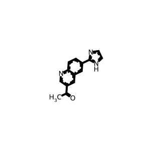 CC(=O)c1cnc2ccc(-c3ncc[nH]3)cc2c1